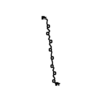 CC(C)CCOCCOCCOCCOCCOCCOCCOCCOC(C)C